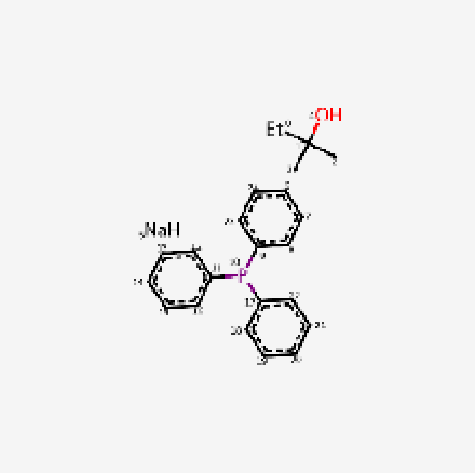 CCC(C)(C)O.[NaH].c1ccc(P(c2ccccc2)c2ccccc2)cc1